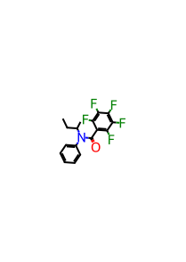 CCC(C)N(C(=O)c1c(F)c(F)c(F)c(F)c1F)c1ccccc1